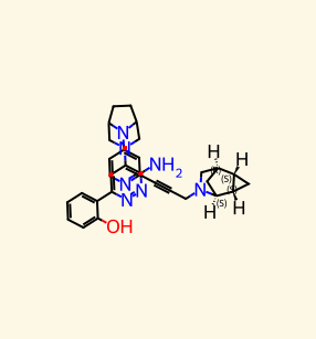 Nc1nnc(-c2ccccc2O)cc1N1CC2CCC(C1)N2c1ccnc(C#CCN2C[C@@H]3C[C@H]2[C@H]2C[C@@H]32)c1